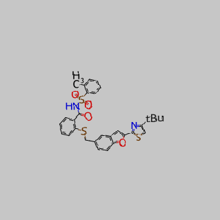 Cc1ccccc1S(=O)(=O)NC(=O)c1ccccc1SCc1ccc2oc(-c3nc(C(C)(C)C)cs3)cc2c1